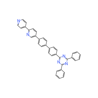 c1ccc(-c2nc(-c3ccccc3)nc(-c3ccc(-c4ccc(-c5ccc(-c6ccncc6)nc5)cc4)cc3)n2)cc1